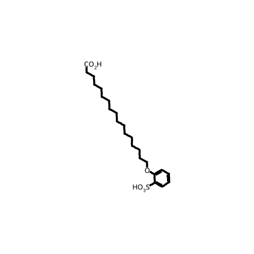 O=C(O)CCCCCCCCCCCCCCCCOc1ccccc1S(=O)(=O)O